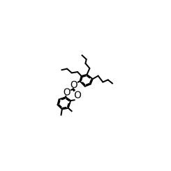 CCCCc1ccc(OC(=O)Oc2ccc(C)c(C)c2C)c(CCCC)c1CCCC